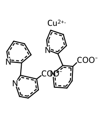 O=C([O-])c1cccnc1-c1ccccn1.O=C([O-])c1cccnc1-c1ccccn1.[Cu+2]